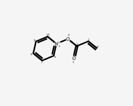 C=CC(=O)O[n+]1ccccc1